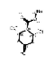 CC[C@@H]1CC(=O)C[C@H](CC)N1C(=O)OC(C)(C)C